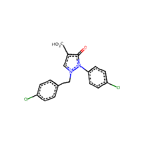 O=C(O)c1cn(Cc2ccc(Cl)cc2)n(-c2ccc(Cl)cc2)c1=O